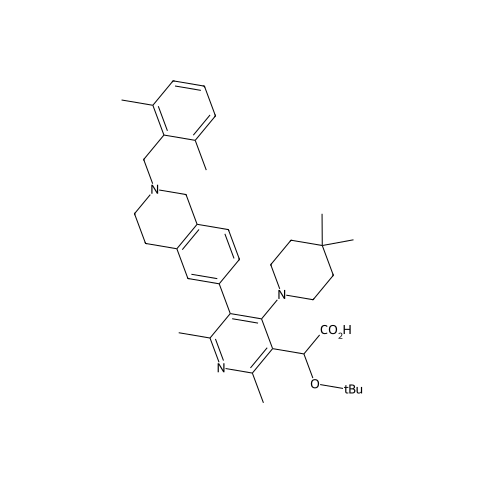 Cc1cccc(C)c1CN1CCc2cc(-c3c(C)nc(C)c(C(OC(C)(C)C)C(=O)O)c3N3CCC(C)(C)CC3)ccc2C1